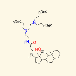 CCCCCCCCCCCCN(CCCCCCCCCCCC)CCN(CCCCCCCCCCCC)CCNC(=O)CC[C@@H](C)C1CCC2C3CCC4CCCCC4(C)C3C[C@H](O)C21C